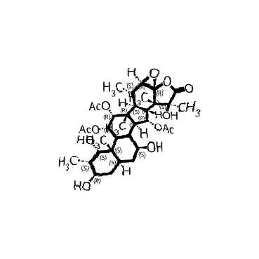 CC(=O)O[C@H]1[C@@H]2[C@H]([C@H](C)[C@H]3O[C@]34OC(=O)[C@@](C)(O)[C@]24C)[C@]2(C)[C@@H]1C1C([C@H](OC(C)=O)[C@@H]2OC(C)=O)[C@]2(C)[C@H](C[C@@H](O)[C@H](C)[C@@H]2O)C[C@@H]1O